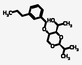 CCCc1cccc(CO[C@@H]2CO[C@H](C(C)C)O[C@@H]2C(C)O)c1